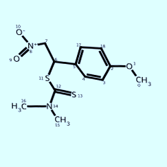 COc1ccc(C(C[N+](=O)[O-])SC(=S)N(C)C)cc1